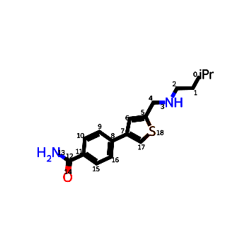 CC(C)CCNCc1cc(-c2ccc(C(N)=O)cc2)cs1